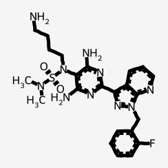 CN(C)S(=O)(=O)N(CCCCN)c1c(N)nc(-c2nn(Cc3ccccc3F)c3ncccc23)nc1N